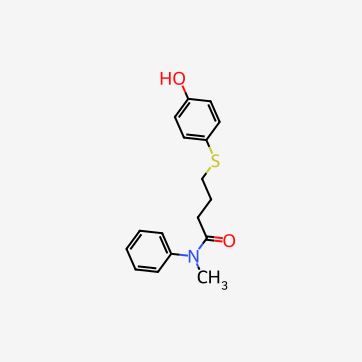 CN(C(=O)CCCSc1ccc(O)cc1)c1ccccc1